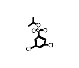 CC(C)OS(=O)(=O)c1cc(Cl)cc(Cl)c1